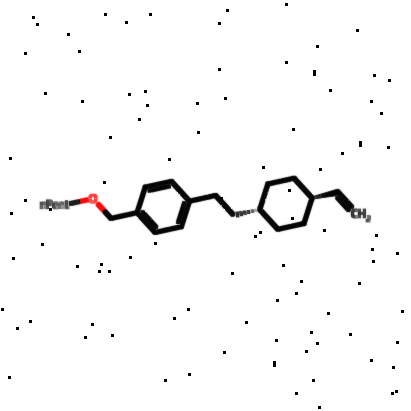 C=C[C@H]1CC[C@H](CCc2ccc(COCCCCC)cc2)CC1